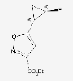 CCOC(=O)c1cc([C@@H]2C[C@H]2F)on1